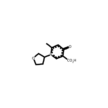 Cc1cc(=O)c(C(=O)O)cn1C1CCOC1